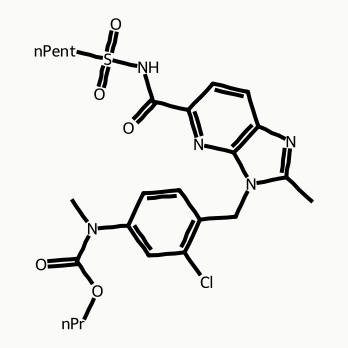 CCCCCS(=O)(=O)NC(=O)c1ccc2nc(C)n(Cc3ccc(N(C)C(=O)OCCC)cc3Cl)c2n1